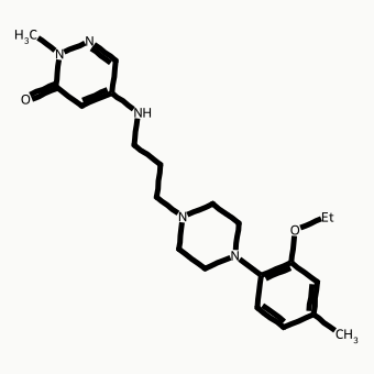 CCOc1cc(C)ccc1N1CCN(CCCNc2cnn(C)c(=O)c2)CC1